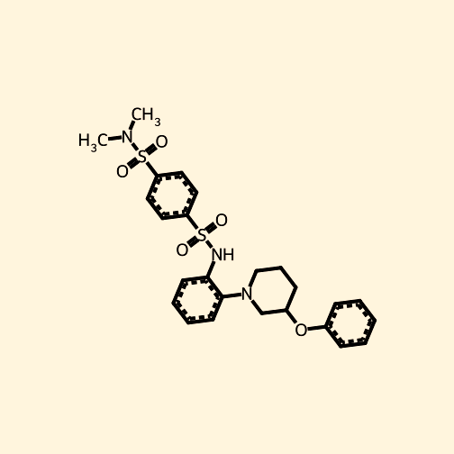 CN(C)S(=O)(=O)c1ccc(S(=O)(=O)Nc2ccccc2N2CCCC(Oc3ccccc3)C2)cc1